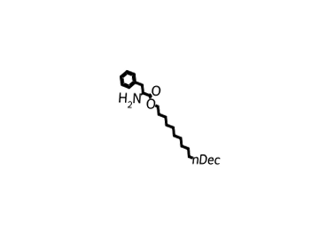 CCCCCCCCCCCCCCCCCCCCOC(=O)[C@@H](N)Cc1ccccc1